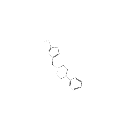 CCCc1nc(CN2CCN(c3ccccc3)CC2)cs1